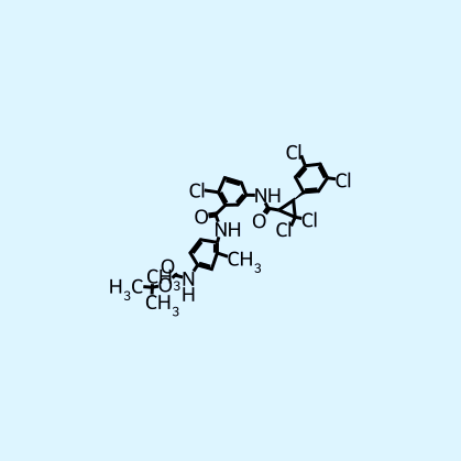 Cc1cc(NC(=O)OC(C)(C)C)ccc1NC(=O)c1cc(NC(=O)C2[C@@H](c3cc(Cl)cc(Cl)c3)C2(Cl)Cl)ccc1Cl